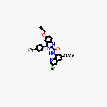 C#CCOc1ccc2nc(C(=O)Nc3cc(OC)cc4cc(Br)cnc34)nc(-c3ccc(C(C)C)cc3)c2c1